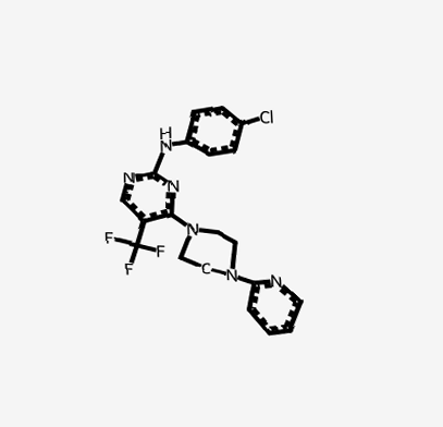 FC(F)(F)c1cnc(Nc2ccc(Cl)cc2)nc1N1CCN(c2ccccn2)CC1